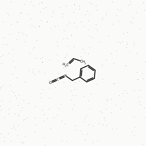 C=CC.O=C=NCc1ccccc1